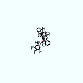 O=C(Nc1cc(F)c(F)c(F)c1)c1ccc(Cl)c(S(=O)(=O)C2C3CC[C@@H]2C[C@](O)(/C=N/Oc2ccccc2)C3)c1